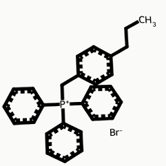 CCCc1ccc(C[P+](c2ccccc2)(c2ccccc2)c2ccccc2)cc1.[Br-]